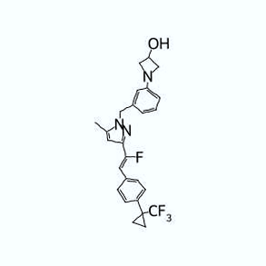 Cc1cc(C(F)=Cc2ccc(C3(C(F)(F)F)CC3)cc2)nn1Cc1cccc(N2CC(O)C2)c1